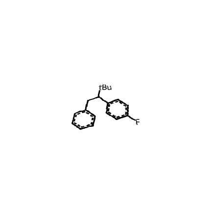 [CH2]C(C)(C)C(Cc1ccccc1)c1ccc(F)cc1